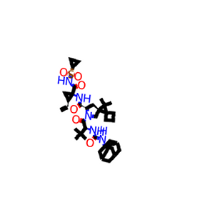 C=C[C@@H]1C[C@]1(NC(=O)[C@@H]1C[C@@]2(CN1C(=O)[C@@H](NC(=O)NC13CC4CC(CC(C4)C1)C3)C(C)(C)C)C(C)(C)C21CCC1)C(=O)NS(=O)(=O)C1CC1